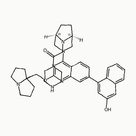 O=C(CN1[C@@H]2CC[C@H]1CN(c1nc(OCC34CCCN3CCC4)nc3cc(-c4cc(O)cc5ccccc45)ccc13)C2)C1CCNCC1